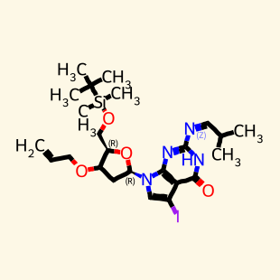 C=CCOC1C[C@H](n2cc(I)c3c(=O)[nH]c(/N=C\C(C)C)nc32)O[C@@H]1CO[Si](C)(C)C(C)(C)C